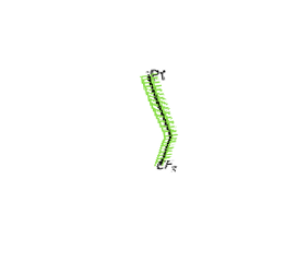 CC(C)C(F)(F)C(F)(F)C(F)(F)C(F)(F)C(F)(F)C(F)(F)C(F)(F)C(F)(F)C(F)(F)C(F)(F)C(F)(F)C(F)(F)C(F)(F)C(F)(F)C(F)(F)C(F)(F)C(F)(F)C(F)(F)C(F)(F)C(F)(F)C(F)(F)C(F)(F)C(F)(F)F